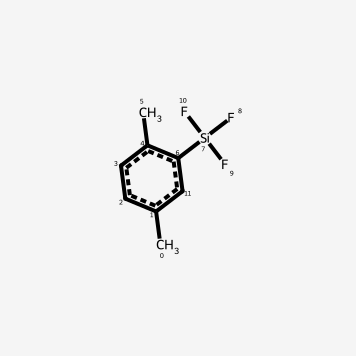 Cc1ccc(C)c([Si](F)(F)F)c1